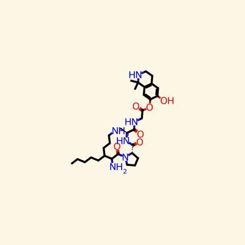 CCCCCC(CCCN)C(N)C(=O)N1CCC[C@H]1C(=O)N[C@@H](C)C(=O)NCC(=O)Oc1cc2c(cc1O)CCNC2(C)C